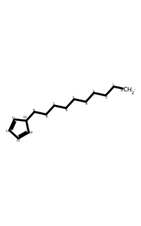 [CH2]CCCCCCCCCC1C=CC=C1